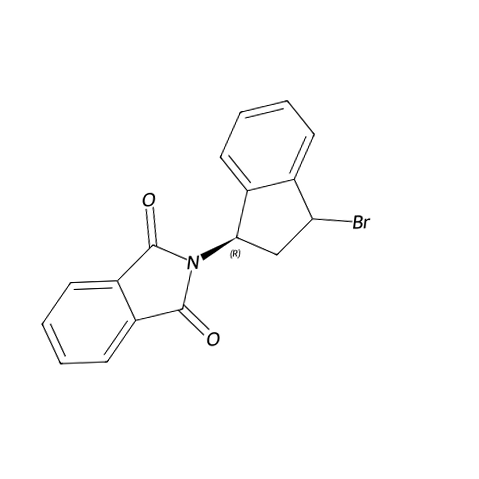 O=C1c2ccccc2C(=O)N1[C@@H]1CC(Br)c2ccccc21